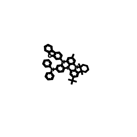 Cc1cc2c3c(c1)N1c4c(cc(C(C)(C)C)cc4C4(C)CCCCC14C)B3c1ccc(N(c3ccccc3)c3ccccc3)cc1N2c1ccc2c(c1)oc1ccccc12